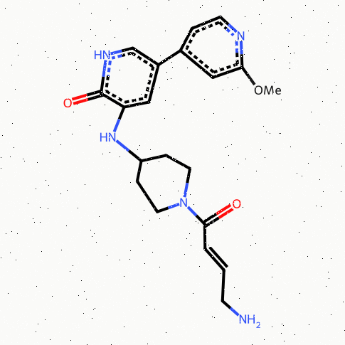 COc1cc(-c2c[nH]c(=O)c(NC3CCN(C(=O)C=CCN)CC3)c2)ccn1